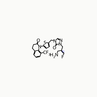 NC/C(=C\F)Cn1ncn(Cc2ccc(N3C(=O)CCc4cccc(C(F)(F)F)c43)s2)c1=O